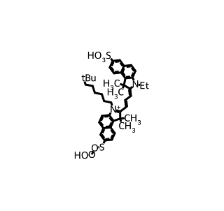 CCN1/C(=C/C=C/C2=[N+](CCCCCCC(C)(C)C)c3ccc4cc(SOOO)ccc4c3C2(C)C)C(C)(C)c2c1ccc1cc(S(=O)(=O)O)ccc21